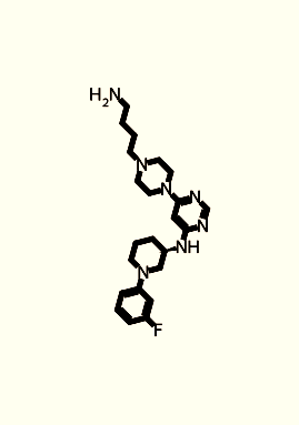 NCCCCN1CCN(c2cc(N[C@@H]3CCCN(c4cccc(F)c4)C3)ncn2)CC1